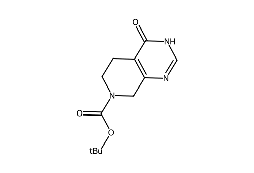 CC(C)(C)OC(=O)N1CCc2c(nc[nH]c2=O)C1